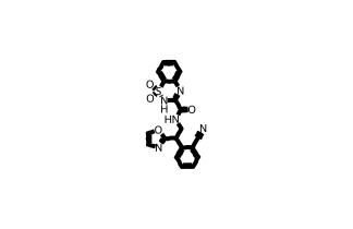 N#Cc1ccccc1C(CNC(=O)C1=Nc2ccccc2S(=O)(=O)N1)c1ncco1